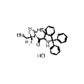 CC(C)(C)CC(C)(C)NC(=O)C(CS)NC(c1ccccc1)(c1ccccc1)c1ccccc1.Cl